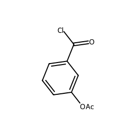 CC(=O)Oc1cccc(C(=O)Cl)c1